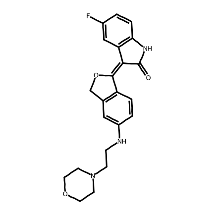 O=C1Nc2ccc(F)cc2C1=C1OCc2cc(NCCN3CCOCC3)ccc21